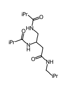 CC(C)CNC(=O)CC(CNC(=O)C(C)C)NC(=O)C(C)C